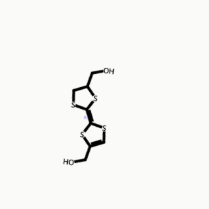 OCC1=CS/C(=C2/SCC(CO)S2)S1